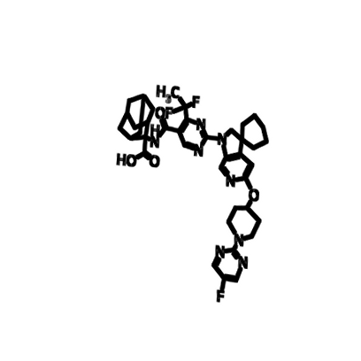 CC(F)(F)c1nc(N2CC3(CCCCC3)c3cc(OC4CCN(c5ncc(F)cn5)CC4)ncc32)ncc1C(=O)NC1(C(=O)O)C2CC3CC(C2)CC1C3